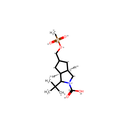 CC(C)(C)C1[C@H]2CC(COS(C)(=O)=O)C[C@H]2CN1C(=O)O